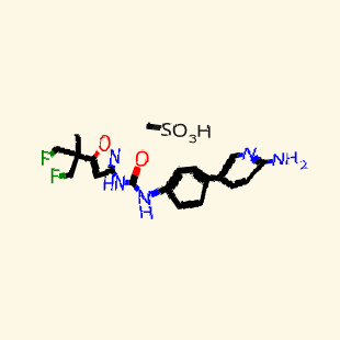 CC(CF)(CF)c1cc(NC(=O)Nc2ccc(-c3ccc(N)nc3)cc2)no1.CS(=O)(=O)O